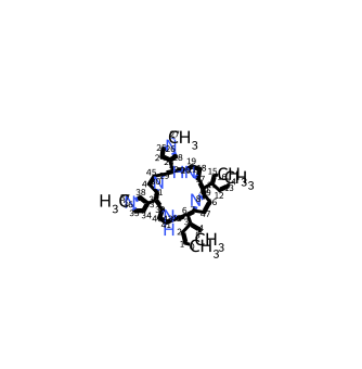 C/C=C\C(=C/C)c1c2nc(c(C(/C=C\C)=C/C)c3ccc([nH]3)c(-c3ccn(C)c3)c3nc(c(-c4ccn(C)c4)c4ccc1[nH]4)C=C3)C=C2